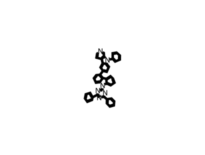 c1ccc(-c2nc(-c3ccccc3)nc(-n3c4ccccc4c4c(-c5ccc6c(c5)c5ccncc5n6-c5ccccc5)cccc43)n2)cc1